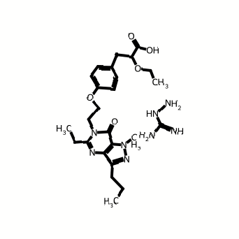 CCCc1nn(C)c2c(=O)n(CCOc3ccc(CC(OCC)C(=O)O)cc3)c(CC)nc12.N=C(N)NN